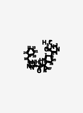 Cn1cncc(-c2ccc(C3(NC(=O)c4nnc(Cc5ccccc5)[nH]4)CC3)cc2)c1=O